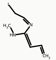 C=C/C=C(\N=C/CI)NC